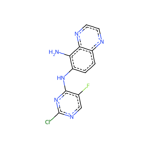 Nc1c(Nc2nc(Cl)ncc2F)ccc2nccnc12